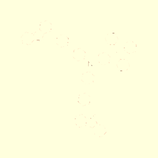 c1ccc(C2(c3ccccc3)c3ccccc3-c3cc(N(c4ccc(-c5ccc(-c6cccc7c6oc6ccccc67)cc5)cc4)c4ccc(-c5ccc(-c6cccc7c6sc6ccccc67)cc5)cc4)ccc32)cc1